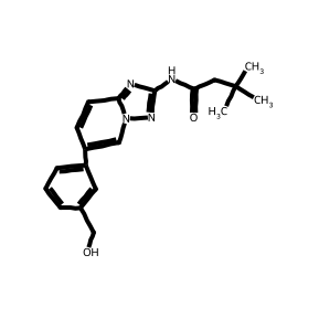 CC(C)(C)CC(=O)Nc1nc2ccc(-c3cccc(CO)c3)cn2n1